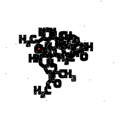 C=CC(=O)N1CC2CNc3c(c4cc(F)c(-c5c(C)ccc6[nH]c(=O)n(C)c56)c(Cl)c4n(-c4c(C(C)C)ncnc4C(C)C)c3=O)N2CC1C